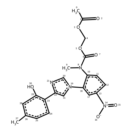 CC(=O)OCOC(=O)N(C)c1ccc([N+](=O)[O-])cc1-n1cnc(-c2ccc(C)cc2O)c1